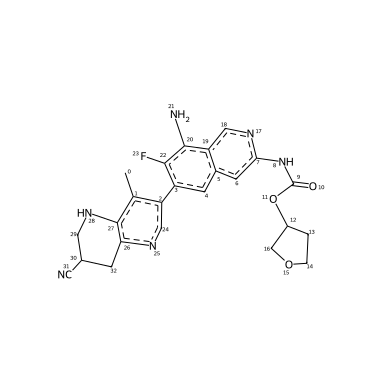 Cc1c(-c2cc3cc(NC(=O)OC4CCOC4)ncc3c(N)c2F)cnc2c1NCC(C#N)C2